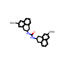 COc1cc2c3c(cccc3c1)CC(NC(=O)NC1Cc3cccc4cc(OC)cc(c34)C1)C2